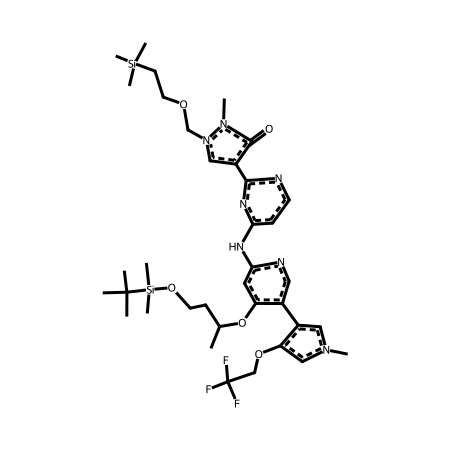 CC(CCO[Si](C)(C)C(C)(C)C)Oc1cc(Nc2ccnc(-c3cn(COCC[Si](C)(C)C)n(C)c3=O)n2)ncc1-c1cn(C)cc1OCC(F)(F)F